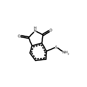 NSc1cccc2c1C(=O)NC2=O